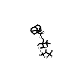 CCC(COC(=O)C12CC3CC(CC(C3)C1)C2)(C(=O)OC(C(F)(F)F)C(F)(F)F)C(C)(C)C